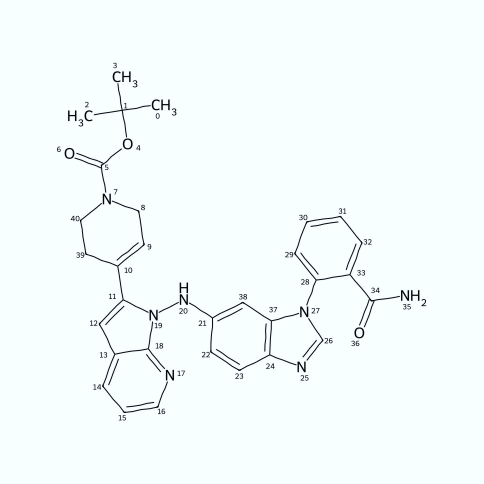 CC(C)(C)OC(=O)N1CC=C(c2cc3cccnc3n2Nc2ccc3ncn(-c4ccccc4C(N)=O)c3c2)CC1